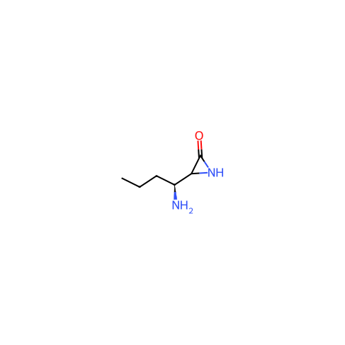 CCC[C@H](N)C1NC1=O